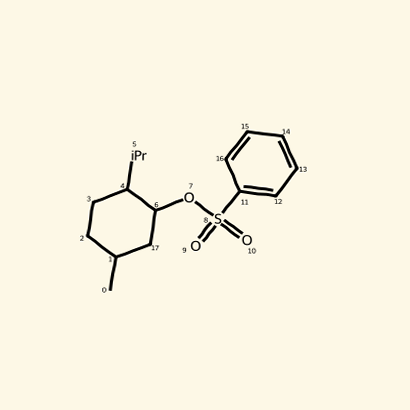 CC1CCC(C(C)C)C(OS(=O)(=O)c2ccccc2)C1